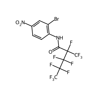 O=C(Nc1ccc([N+](=O)[O-])cc1Br)C(F)(C(F)(F)F)C(F)(F)C(F)(F)C(F)(F)F